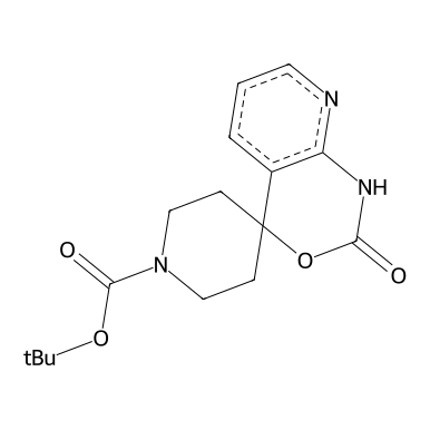 CC(C)(C)OC(=O)N1CCC2(CC1)OC(=O)Nc1ncccc12